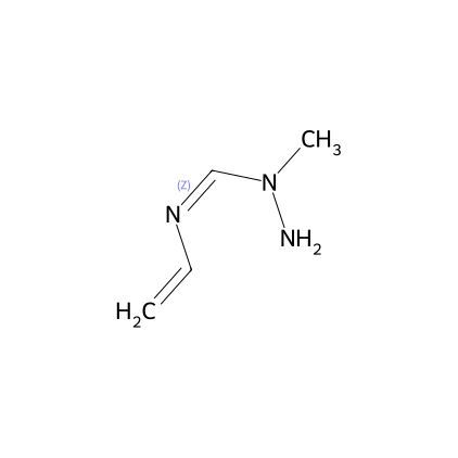 C=C/N=C\N(C)N